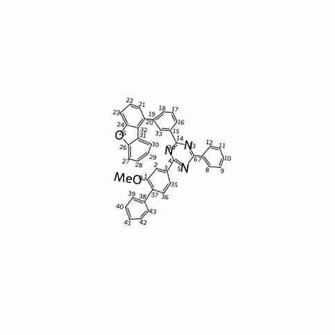 COc1cc(-c2nc(-c3ccccc3)nc(-c3cccc(-c4cccc5oc6ccccc6c45)c3)n2)ccc1-c1ccccc1